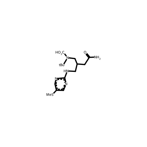 CSc1cnc(NCC(CC(N)=O)CN(C(=O)O)C(C)(C)C)nc1